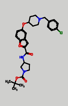 CC(C)(C)OC(=O)N1CCC(NC(=O)c2cc3cc(OC4CCN(Cc5ccc(Cl)cc5)CC4)ccc3o2)C1